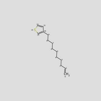 C=CCCCCCCCCc1ccsc1